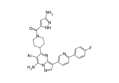 CC(=O)c1c(C2CCN(C(=O)c3cc(N)n[nH]3)CC2)nc2c(-c3ccc(-c4ccc(F)cc4)nc3)cnn2c1N